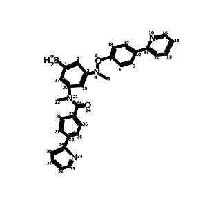 Bc1cc(N(C)Oc2ccc(-c3ccccn3)cc2)cc(N(C)C(=O)c2ccc(-c3ccccn3)cc2)c1